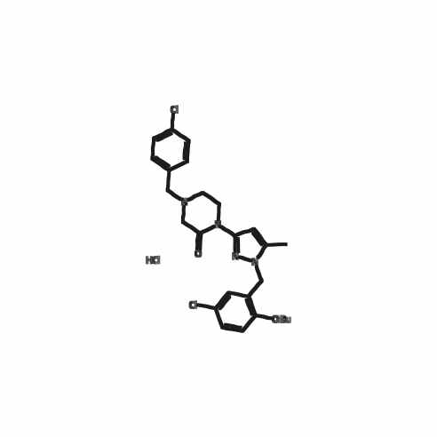 Cc1cc(N2CCN(Cc3ccc(Cl)cc3)CC2=O)nn1Cc1cc(Cl)ccc1OCC(C)C.Cl